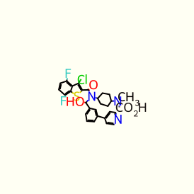 CN(C(=O)O)C1CCC(N(C(=O)c2sc3c(F)ccc(F)c3c2Cl)C(O)c2cccc(-c3ccncc3)c2)CC1